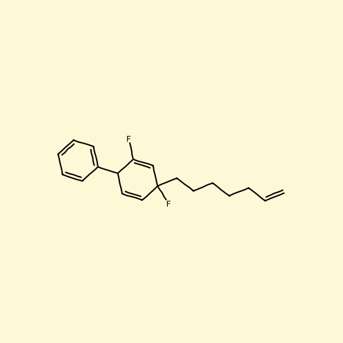 C=CCCCCCC1(F)C=CC(c2ccccc2)C(F)=C1